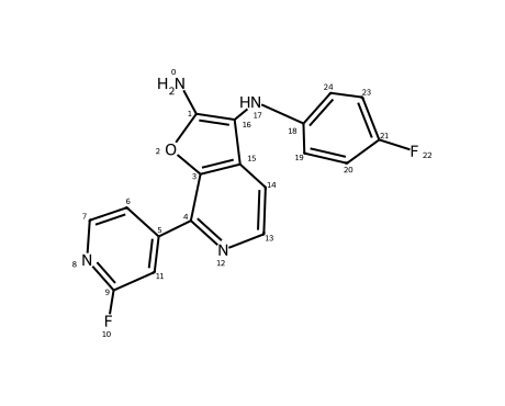 Nc1oc2c(-c3ccnc(F)c3)nccc2c1Nc1ccc(F)cc1